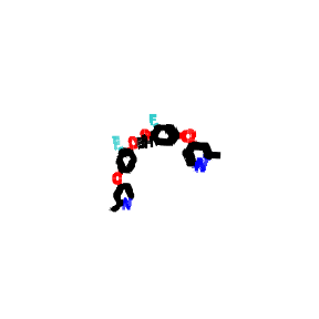 Cc1cc(Oc2ccc(OBOc3ccc(Oc4ccnc(C)c4)cc3F)c(F)c2)ccn1